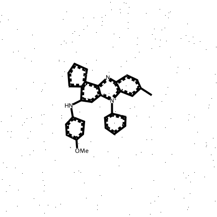 COc1ccc(Nc2cc3c(nc4ccc(C)cc4[n+]3-c3ccccc3)c3ccccc23)cc1